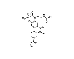 CCC(=O)NCCN1C(=O)C(C)(C)Oc2ccc(C(=O)N(C(C)C)[C@@H]3CCCN(C(=O)OC(C)(C)C)C3)cc21